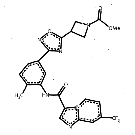 COC(=O)N1CC(c2nc(-c3ccc(C)c(NC(=O)c4cnc5cc(C(F)(F)F)ccn45)c3)no2)C1